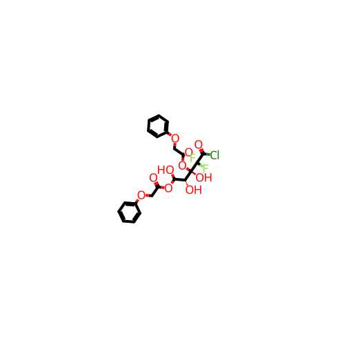 O=C(COc1ccccc1)OC(O)[C@@H](O)[C@](O)(OC(=O)COc1ccccc1)C(F)(F)C(=O)Cl